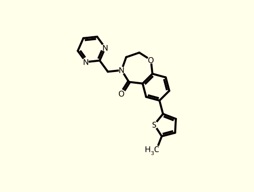 Cc1ccc(-c2ccc3c(c2)C(=O)N(Cc2ncccn2)CCO3)s1